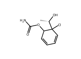 C[C@H](O)C1(Cl)C=CC=CC1OC(N)=O